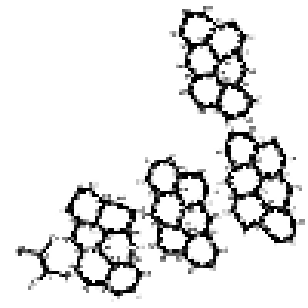 FC(F)=C(F)F.c1cc2ccc3cc4cccc5ccc6cc(c1)c2c3c6c54.c1cc2ccc3cc4cccc5ccc6cc(c1)c2c3c6c54.c1cc2ccc3cc4cccc5ccc6cc(c1)c2c3c6c54.c1cc2ccc3cc4cccc5ccc6cc(c1)c2c3c6c54